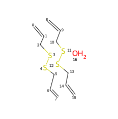 C=CCSSCC=C.C=CCSSCC=C.O